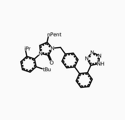 CCCCCc1cn(-c2c(C(C)C)cccc2C(C)(C)C)c(=O)n1Cc1ccc(-c2ccccc2-c2nnn[nH]2)cc1